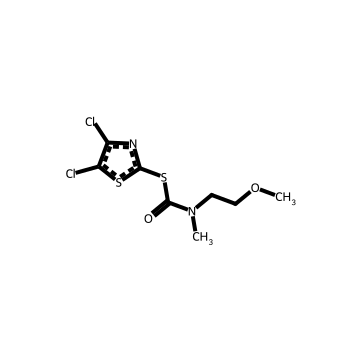 COCCN(C)C(=O)Sc1nc(Cl)c(Cl)s1